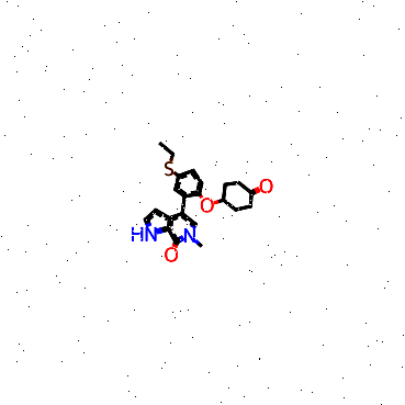 CCSc1ccc(OC2CCC(=O)CC2)c(-c2cn(C)c(=O)c3[nH]ccc23)c1